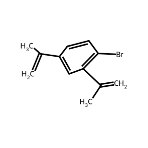 C=C(C)c1ccc(Br)c(C(=C)C)c1